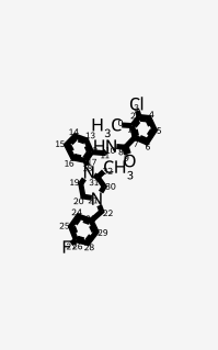 Cc1c(Cl)cccc1C(=O)NCc1ccccc1N1CCN(Cc2ccc(F)cc2)CC1C